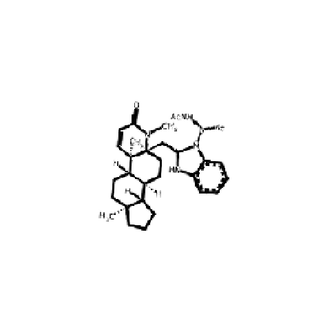 CC(=O)NN(C(C)=O)N1c2ccccc2NC1C[C@@]12CC[C@H]3[C@@H]4CCC[C@@]4(C)CC[C@@H]3[C@@]1(C)C=CC(=O)N2C